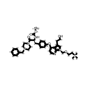 CC(C)(C)OC(=O)N[C@@H](Cc1ccc(Oc2ccnc3c2c(CCO)cn3COCCS(C)(C)C)cc1)C(=O)N1CCN(Cc2ccccc2)CC1